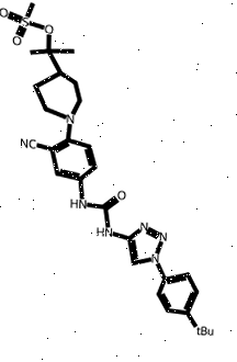 CC(C)(C)c1ccc(-n2cc(NC(=O)Nc3ccc(N4CCC(C(C)(C)OS(C)(=O)=O)CC4)c(C#N)c3)nn2)cc1